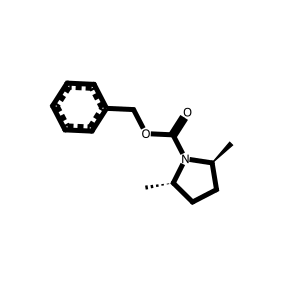 C[C@H]1CC[C@H](C)N1C(=O)OCc1ccccc1